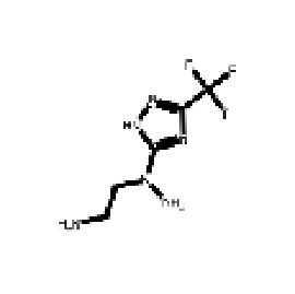 NCCN(N)c1nc(C(F)(F)F)n[nH]1